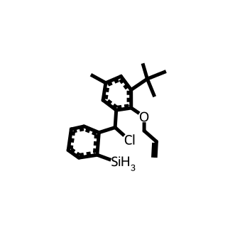 C=CCOc1c(C(Cl)c2ccccc2[SiH3])cc(C)cc1C(C)(C)C